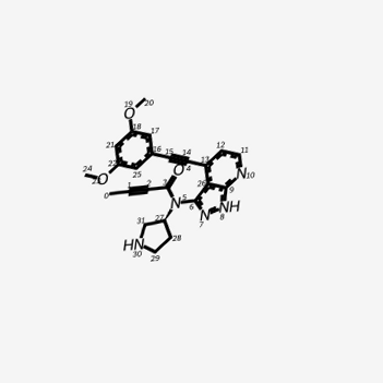 CC#CC(=O)N(c1n[nH]c2nccc(C#Cc3cc(OC)cc(OC)c3)c12)[C@H]1CCNC1